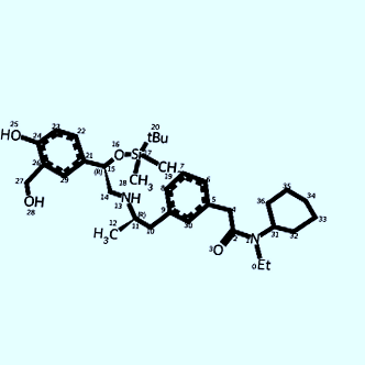 CCN(C(=O)Cc1cccc(C[C@@H](C)NC[C@H](O[Si](C)(C)C(C)(C)C)c2ccc(O)c(CO)c2)c1)C1CCCCC1